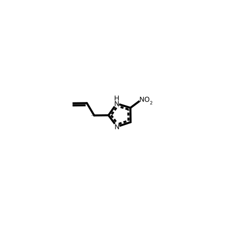 C=C[CH]c1ncc([N+](=O)[O-])[nH]1